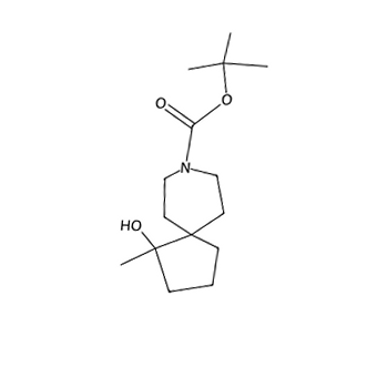 CC(C)(C)OC(=O)N1CCC2(CCCC2(C)O)CC1